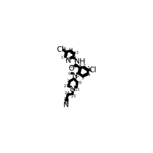 CN(c1ccc(Cl)cc1C(=O)Nc1ccc(Cl)cn1)C1CCN(CCC#N)CC1